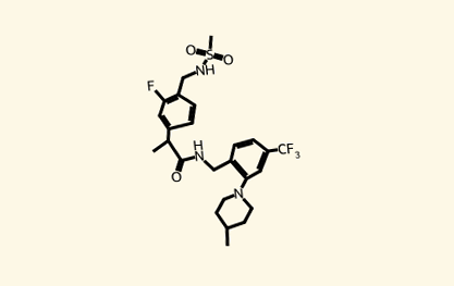 CC1CCN(c2cc(C(F)(F)F)ccc2CNC(=O)C(C)c2ccc(CNS(C)(=O)=O)c(F)c2)CC1